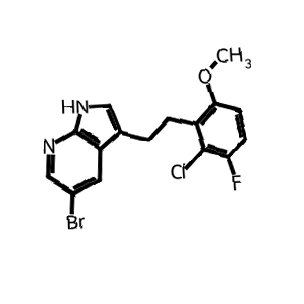 COc1ccc(F)c(Cl)c1CCc1c[nH]c2ncc(Br)cc12